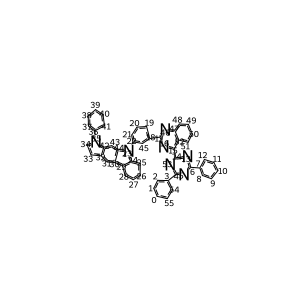 c1ccc(-c2nc(-c3ccccc3)nc(-c3nc(-c4cccc(-n5c6ccccc6c6cc7ccn(-c8ccccc8)c7cc65)c4)nc4ccccc34)n2)cc1